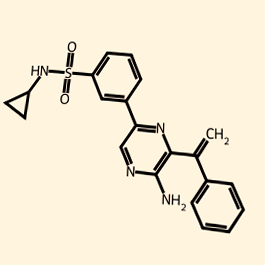 C=C(c1ccccc1)c1nc(-c2cccc(S(=O)(=O)NC3CC3)c2)cnc1N